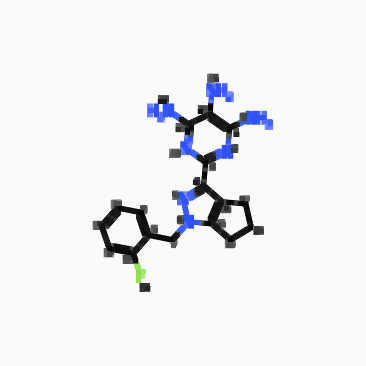 Nc1nc(-c2nn(Cc3ccccc3F)c3c2CCC3)nc(N)c1N